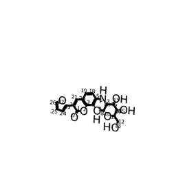 O=c1oc2cc(N[C@@H]3C(O)OC(CO)[C@@H](O)C3O)ccc2cc1-c1ccco1